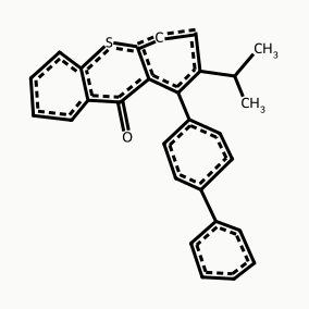 CC(C)c1ccc2sc3ccccc3c(=O)c2c1-c1ccc(-c2ccccc2)cc1